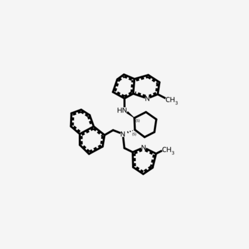 Cc1cccc(CN(Cc2cccc3ccccc23)[C@H]2CCCC[C@@H]2Nc2cccc3ccc(C)nc23)n1